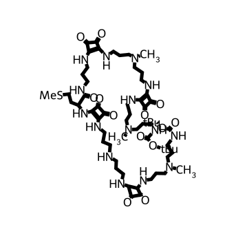 CSCCC(Nc1c(NCCCNCCCNC2C(=O)C(=O)C2NCCCN(C)CCCNC(=O)OC(C)(C)C)c(=O)c1=O)C(=O)NCCCNc1c(NCCCN(C)CCCNc2c(NCCCN(C)CCCNC(=O)OC(C)(C)C)c(=O)c2=O)c(=O)c1=O